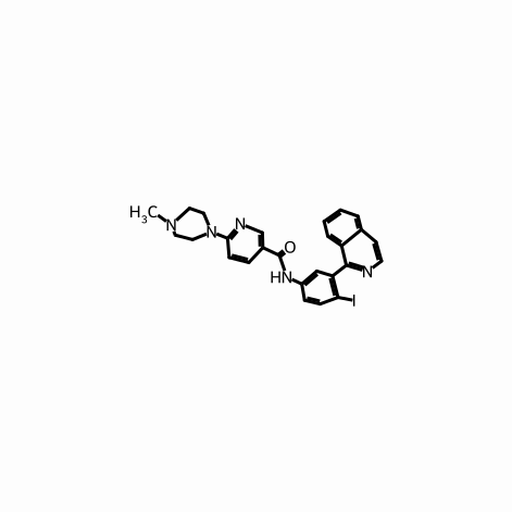 CN1CCN(c2ccc(C(=O)Nc3ccc(I)c(-c4nccc5ccccc45)c3)cn2)CC1